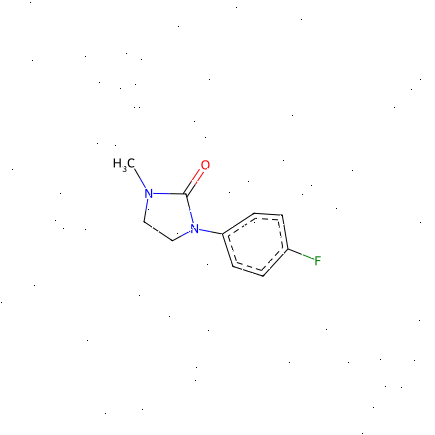 CN1CCN(c2ccc(F)cc2)C1=O